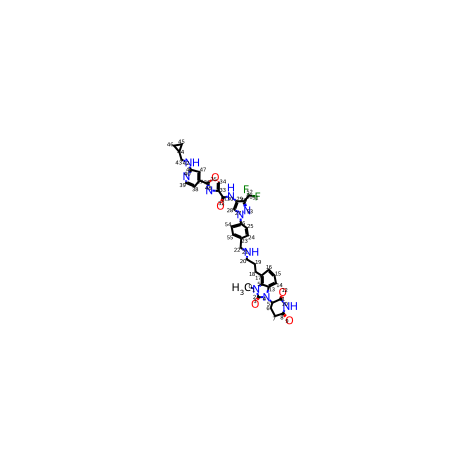 Cn1c(=O)n(C2CCC(=O)NC2=O)c2cccc(CCCNCc3ccc(-n4cc(NC(=O)c5coc(-c6ccnc(NCC7CC7)c6)n5)c(C(F)F)n4)cc3)c21